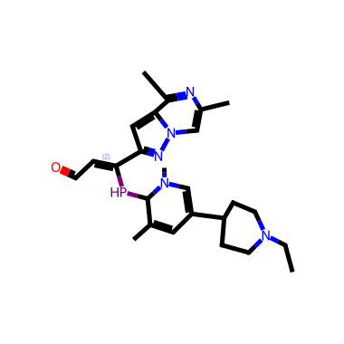 CCN1CCC(C2=CN(C)C(P/C(=C\C=O)c3cc4c(C)nc(C)cn4n3)C(C)=C2)CC1